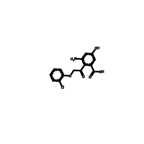 Nc1cc(O)cc(C(=O)O)c1C(=O)COc1ccccc1Cl